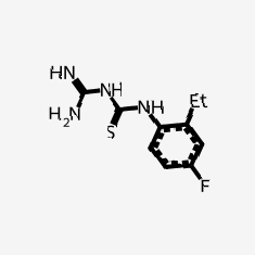 CCc1cc(F)ccc1NC(=S)NC(=N)N